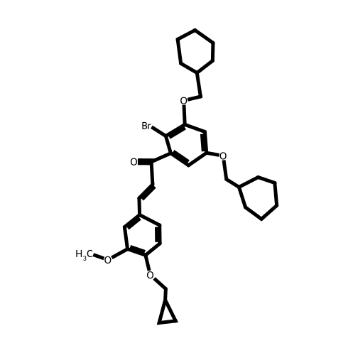 COc1cc(/C=C/C(=O)c2cc(OCC3CCCCC3)cc(OCC3CCCCC3)c2Br)ccc1OCC1CC1